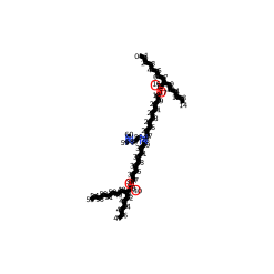 CCCCCCCCC(CCCCCC)C(=O)OCCCCCCCCCCN(CCCCCCCCCOC(=O)C(CCCCCC)CCCCCCCC)CCN(C)C